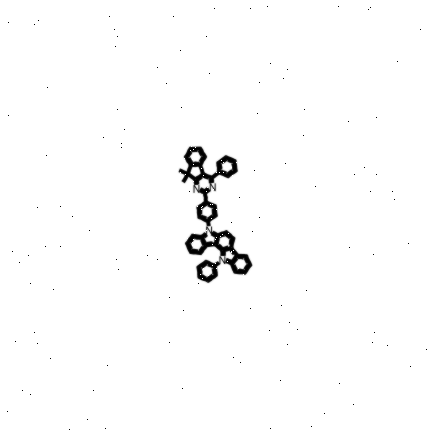 CC1(C)c2ccccc2-c2c(-c3ccccc3)nc(-c3ccc(-n4c5ccccc5c5c4ccc4c6ccccc6n(-c6ccccc6)c45)cc3)nc21